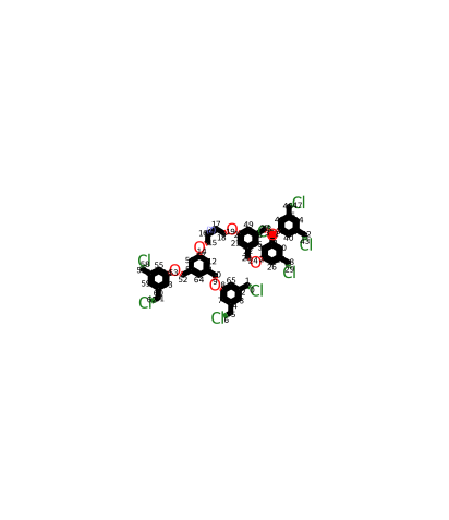 ClCc1cc(CCl)cc(OCC2=CC(OC/C=C\COc3cc(COc4cc(CCl)cc(CCl)c4)cc(COc4cc(CCl)cc(CCl)c4)c3)CC(COc3cc(CCl)cc(CCl)c3)=C2)c1